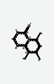 Cc1cc(C)n2c(=O)ncnc2c1C